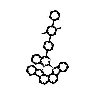 Cc1cc(-c2ccc(-c3nc(-n4c5ccccc5c5ccc6ccc7c8ccccc8sc7c6c54)nc4ccccc34)cc2)c(C)cc1-c1ccccc1